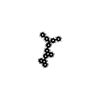 c1ccc(-c2ccc(N(c3ccc(-c4ccccc4)cc3)c3ccc(-c4ccc5c6ccc(-c7cc8ccccc8c8ccccc78)cc6c6ccccc6c5c4)cc3)cc2)cc1